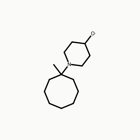 CC1(N2CCC([O])CC2)CCCCCCC1